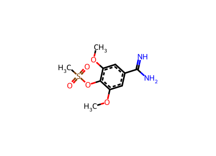 COc1cc(C(=N)N)cc(OC)c1OS(C)(=O)=O